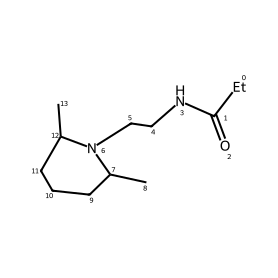 CCC(=O)NCCN1C(C)CCCC1C